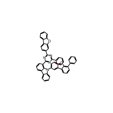 c1ccc(-c2nc(-c3ccc4c(c3)oc3ccccc34)nc(-c3cccc4c5ccccc5n(-c5ccc6oc7c(-c8ccccc8)cccc7c6c5)c34)n2)cc1